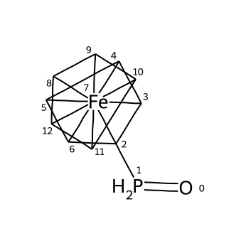 O=[PH2][C]12[CH]3[CH]4[CH]5[CH]1[Fe]45321678[CH]2[CH]1[CH]6[CH]7[CH]28